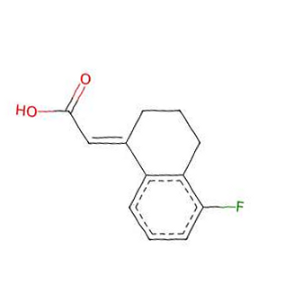 O=C(O)C=C1CCCc2c(F)cccc21